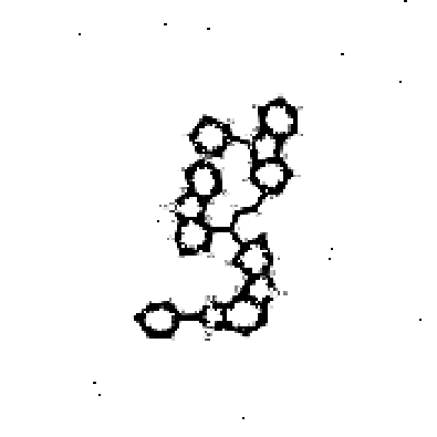 c1ccc(-c2nc3c(ccc4oc5ccc(C(CCc6ccc7c8ccccc8n(-c8ccccc8)c7c6)c6cccc7oc8ccccc8c67)cc5c43)o2)cc1